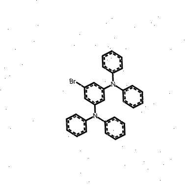 Brc1cc(N(c2ccccc2)c2ccccc2)cc(N(c2ccccc2)c2ccccc2)c1